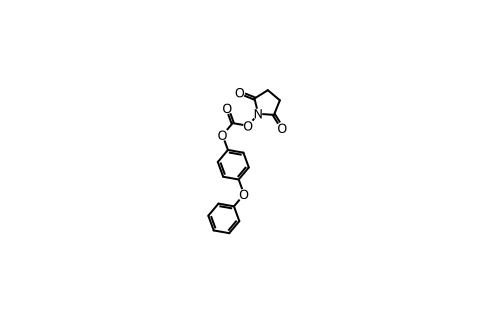 O=C(Oc1ccc(Oc2ccccc2)cc1)ON1C(=O)CCC1=O